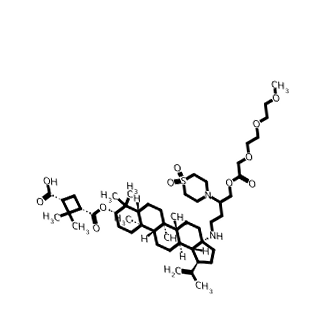 C=C(C)[C@@H]1CC[C@]2(NCCC(COC(=O)COCCOCCOC)N3CCS(=O)(=O)CC3)CC[C@]3(C)[C@H](CC[C@@H]4[C@@]5(C)CC[C@H](OC(=O)[C@H]6C[C@@H](C(=O)O)C6(C)C)C(C)(C)[C@@H]5CC[C@]43C)[C@@H]12